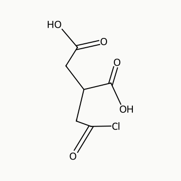 O=C(O)CC(CC(=O)Cl)C(=O)O